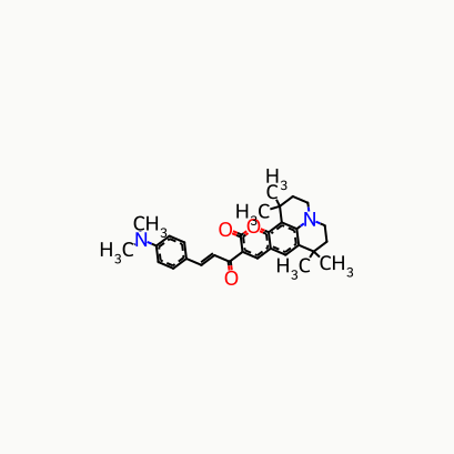 CN(C)c1ccc(C=CC(=O)c2cc3cc4c5c(c3oc2=O)C(C)(C)CCN5CCC4(C)C)cc1